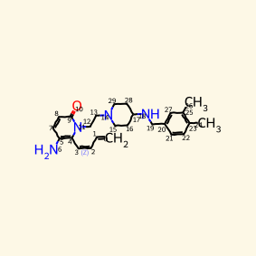 C=C/C=C\c1c(N)ccc(=O)n1CCN1CCC(NCc2ccc(C)c(C)c2)CC1